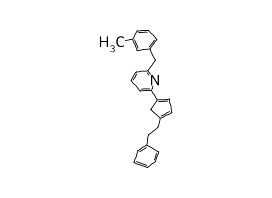 Cc1cccc(Cc2cccc(C3=CC=C(CCc4ccccc4)C3)n2)c1